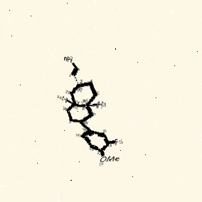 CCCC=C[C@@H]1CC[C@@H]2CC(c3ccc(OC)c(F)c3)CC[C@@H]2C1